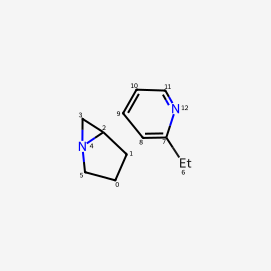 C1CC2CN2C1.CCc1ccccn1